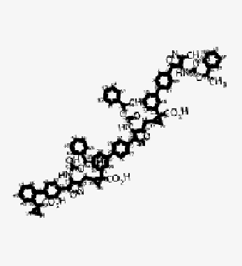 Cc1noc(-c2ccc(-c3cccc(C4(C(=O)O)CC4Cc4onc(-c5ccc(-c6cccc(C7(C(=O)O)CC7Cc7noc(-c8ccc(-c9ccccc9C9(C(=O)O)CC9)cc8)c7NC(O)O[C@H](C)c7ccccc7)c6)cc5)c4NC(=O)O[C@H](C)c4ccccc4)c3)cc2)c1NC(=O)O[C@H](C)c1ccccc1